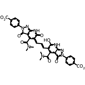 CN(C)C(=O)c1c(C=CC=c2c(C(=O)N(C)C)c3c([nH]c2=O)=NN(c2ccc(C(=O)O)cc2)C3=O)c(O)[nH]c2nn(-c3ccc(C(=O)O)cc3)c(=O)c1-2